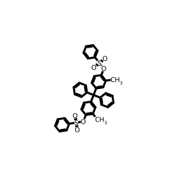 Cc1cc(C(c2ccccc2)(c2ccccc2)c2ccc(OS(=O)(=O)c3ccccc3)c(C)c2)ccc1OS(=O)(=O)c1ccccc1